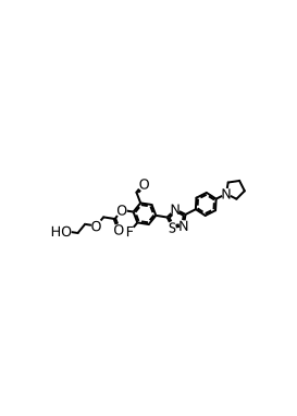 O=Cc1cc(-c2nc(-c3ccc(N4CCCC4)cc3)ns2)cc(F)c1OC(=O)COCCO